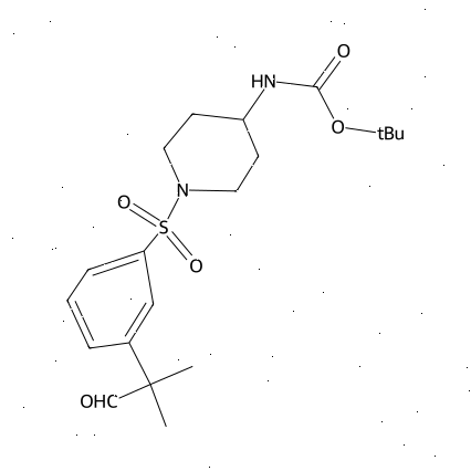 CC(C)(C)OC(=O)NC1CCN(S(=O)(=O)c2cccc(C(C)(C)C=O)c2)CC1